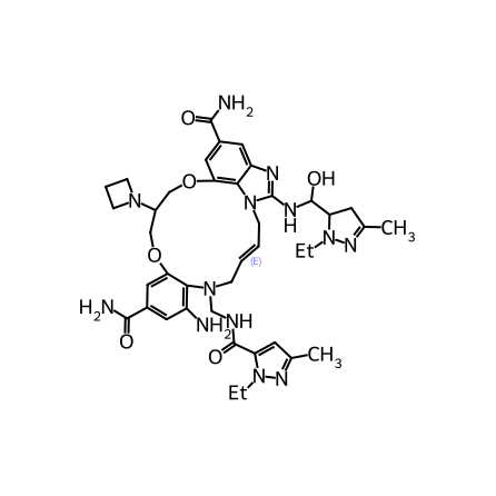 CCN1N=C(C)CC1C(O)Nc1nc2cc(C(N)=O)cc3c2n1C/C=C/CN(CNC(=O)c1cc(C)nn1CC)c1c(N)cc(C(N)=O)cc1OCC(N1CCC1)CO3